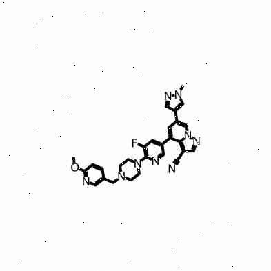 COc1ccc(CN2CCN(c3ncc(-c4cc(-c5cnn(C)c5)cn5ncc(C#N)c45)cc3F)CC2)cn1